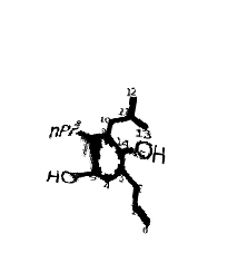 C=CCc1cc(O)c(CCC)c(CC(=C)C)c1O